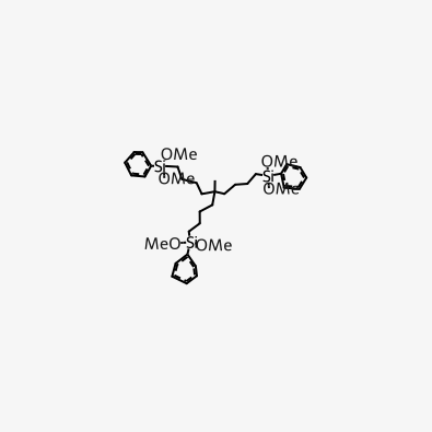 CO[Si](CCCCC(C)(CCCC[Si](OC)(OC)c1ccccc1)CCCC[Si](OC)(OC)c1ccccc1)(OC)c1ccccc1